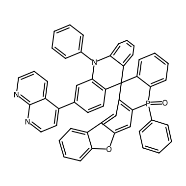 O=P1(c2ccccc2)c2ccccc2C2(c3ccccc3N(c3ccccc3)c3cc(-c4ccnc5ncccc45)ccc32)c2cc3c(cc21)oc1ccccc13